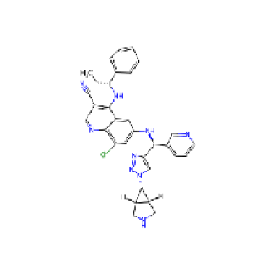 CC[C@@H](Nc1c(C#N)cnc2c(Cl)cc(N[C@@H](c3cccnc3)c3cn([C@@H]4[C@@H]5CNC[C@@H]54)nn3)cc12)c1ccccc1